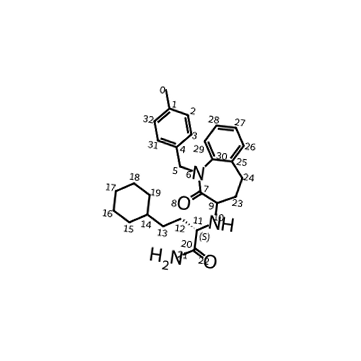 Cc1ccc(CN2C(=O)C(N[C@@H](CCC3CCCCC3)C(N)=O)CCc3ccccc32)cc1